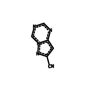 N#Cc1cc2ncncn2n1